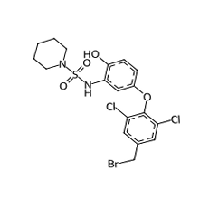 O=S(=O)(Nc1cc(Oc2c(Cl)cc(CBr)cc2Cl)ccc1O)N1CCCCC1